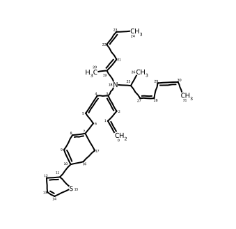 C=C/C=C(\C=C/CC1=CC=C(c2cccs2)CC1)N(/C(C)=C/C=C\C)C(C)/C=C\C=C/C